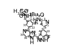 CC(C)(C)C(=O)Nc1cncc(-c2cc(F)c3[nH]nc(-c4nc5c(-c6cc(F)cc(CNS(C)(=O)=O)c6)nccc5[nH]4)c3c2)c1